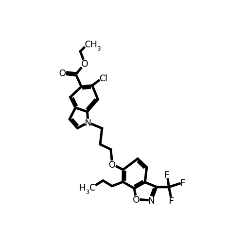 CCCc1c(OCCCn2ccc3cc(C(=O)OCC)c(Cl)cc32)ccc2c(C(F)(F)F)noc12